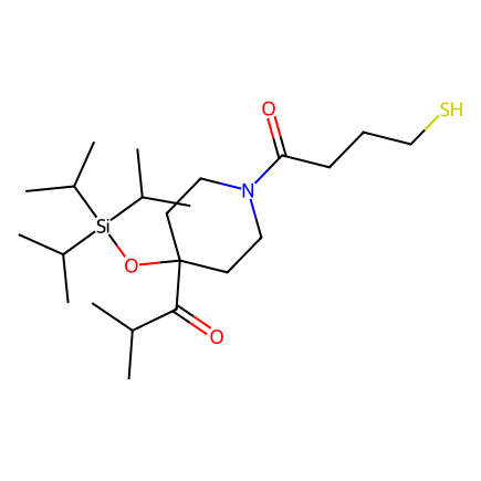 CC(C)C(=O)C1(O[Si](C(C)C)(C(C)C)C(C)C)CCN(C(=O)CCCS)CC1